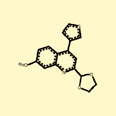 COc1ccc2c(-c3ccsc3)cc(C3OCCO3)nc2c1